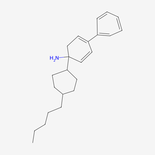 CCCCCC1CCC(C2(N)C=CC(c3ccccc3)=CC2)CC1